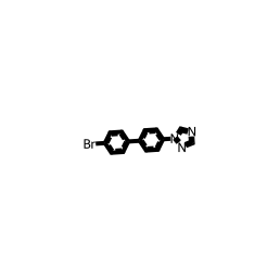 Brc1ccc(-c2ccc(-n3cncn3)cc2)cc1